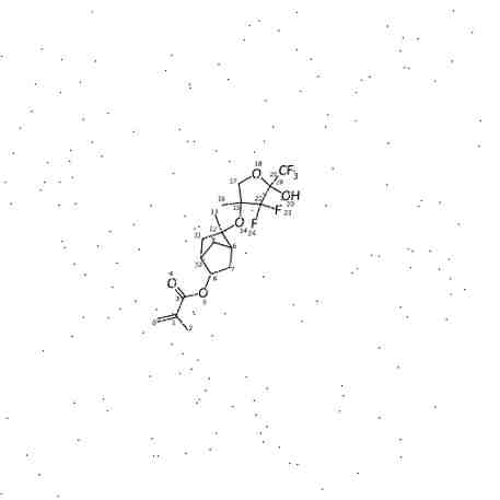 C=C(C)C(=O)OC1CC2CC1CC2(C)OC1(C)COC(O)(C(F)(F)F)C1(F)F